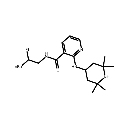 CCCCC(CC)CNC(=O)c1cccnc1NC1CC(C)(C)NC(C)(C)C1